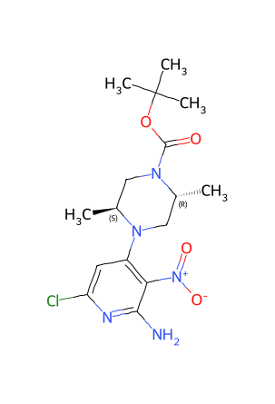 C[C@@H]1CN(c2cc(Cl)nc(N)c2[N+](=O)[O-])[C@@H](C)CN1C(=O)OC(C)(C)C